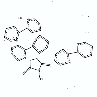 O=C1CCC(=O)N1O.[Ru].c1ccc(-c2ccccn2)nc1.c1ccc(-c2ccccn2)nc1.c1ccc(-c2ccccn2)nc1